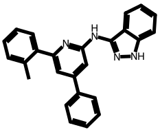 Cc1ccccc1-c1cc(-c2ccccc2)cc(Nc2n[nH]c3ccccc23)n1